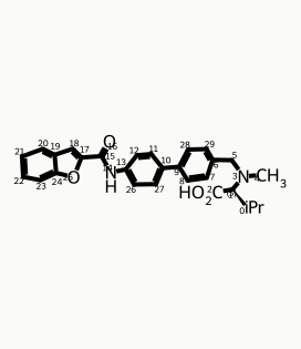 CC(C)[C@@H](C(=O)O)N(C)Cc1ccc(-c2ccc(NC(=O)c3cc4ccccc4o3)cc2)cc1